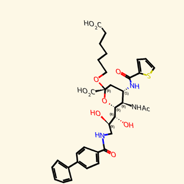 CC(=O)N[C@H]1[C@H]([C@H](O)[C@H](O)CNC(=O)c2ccc(-c3ccccc3)cc2)O[C@@](OCCCCCC(=O)O)(C(=O)O)C[C@@H]1NC(=O)c1cccs1